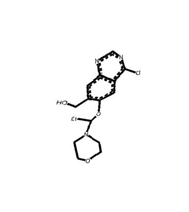 CCC(Oc1cc2c(Cl)ncnc2cc1CO)N1CCOCC1